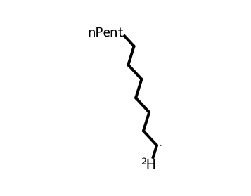 [2H][CH]CCCCCCCCCCC